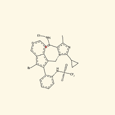 CCNC(=O)c1c(C)nc(C2CC2)n1Cc1c2ccocc-2c(Br)c1-c1ccccc1NS(=O)(=O)C(F)(F)F